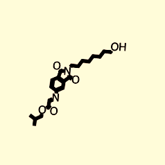 CC(C)COC(=O)/C=N/c1ccc2c(c1)C(=O)N(CCCCCCCCO)C2=O